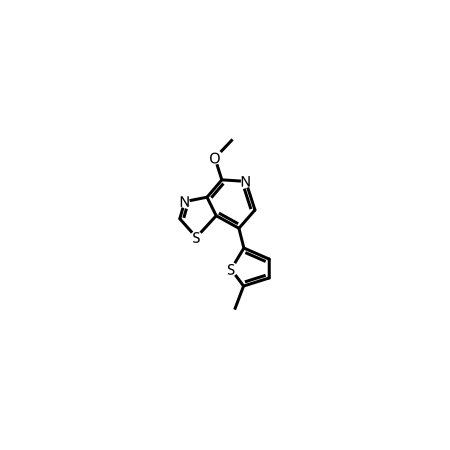 COc1ncc(-c2ccc(C)s2)c2scnc12